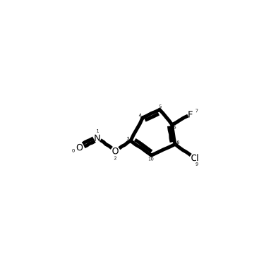 O=NOc1ccc(F)c(Cl)c1